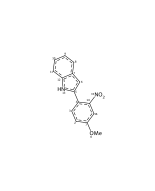 COc1ccc(-c2cc3ccccc3[nH]2)c([N+](=O)[O-])c1